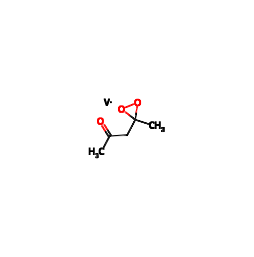 CC(=O)CC1(C)OO1.[V]